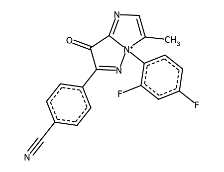 CC1=CN=C2C(=O)C(c3ccc(C#N)cc3)=N[N+]12c1ccc(F)cc1F